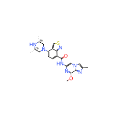 COc1nc(NC(=O)c2ccc(N3C[C@@H](C)N[C@@H](C)C3)c3csnc23)cn2cc(C)nc12